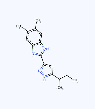 CCC(C)c1cc(-c2nc3cc(C)c(C)cc3[nH]2)n[nH]1